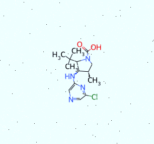 C[C@@H]1CN(C(=O)O)C(C(C)(C)C)[C@@H]1Nc1cncc(Cl)n1